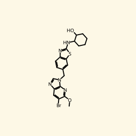 COc1nc2c(cc1Br)ncn2Cc1ccc2nc(NC3CCCCC3O)sc2c1